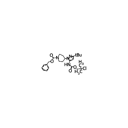 CC(C)(Cl)COC(=O)Nc1cc(C(C)(C)C)nn1C1CCN(C(=O)OCc2ccccc2)CC1